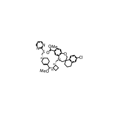 COC(=O)c1ccc2c(c1)N(C[C@@H]1CC[C@H]1C(OC)C1=CC[C@H](CSc3ncccn3)CC1)CC1(CCCc3cc(Cl)ccc31)CO2